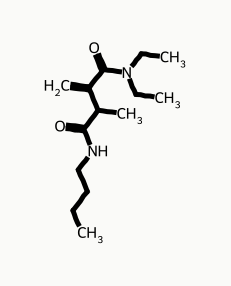 C=C(C(=O)N(CC)CC)C(C)C(=O)NCCCC